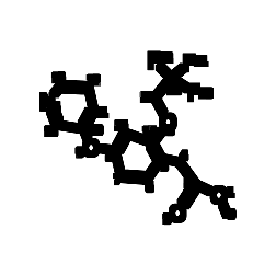 COC(=O)Cc1ccc(Oc2cccnc2)cc1OCC(F)(F)F